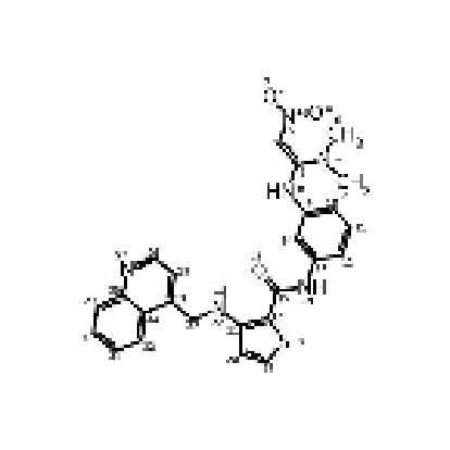 CN(C)/C(=C\[N+](=O)[O-])Nc1cccc(NC(=O)c2sccc2NCc2ccnc3ccccc23)c1